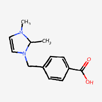 CC1N(C)C=CN1Cc1ccc(C(=O)O)cc1